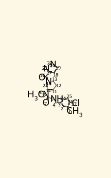 Cc1cc(CNC(=O)N(C)[C@@H]2CCCN(C(=O)c3ccncn3)C2)ccc1Cl